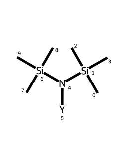 C[Si](C)(C)[N]([Y])[Si](C)(C)C